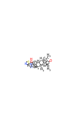 CC(C)C1=C2[C@H]3CC[C@@H]4[C@@]5(C)CC[C@@](O)(Nc6cncs6)C(C)(C)[C@@H]5CC[C@@]4(C)[C@]3(C)CC[C@@]2(C)CC1=O